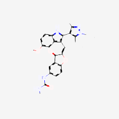 CNC(=O)Nc1ccc2c(c1)C(=O)C(=Cc1c(-c3c(C)nn(C)c3C)[nH]c3ccc(OC)cc13)O2